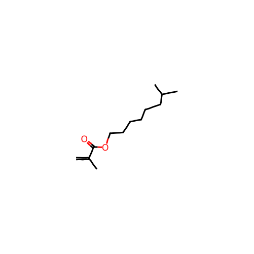 C=C(C)C(=O)OCCCCCCC(C)C